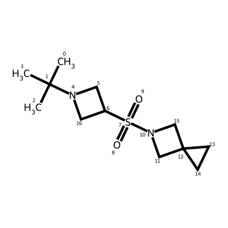 CC(C)(C)N1CC(S(=O)(=O)N2CC3(CC3)C2)C1